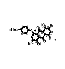 CCCCCCc1ccc(Nc2cc(Br)c(O)c3c2C(=O)c2c(O)c(Br)cc(N)c2C3=O)cc1